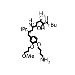 CCCCNC(=O)[C@H](C)C[C@H](O)[C@@H](N)C[C@H](Cc1ccc(OCCCCN)c(OCCCOC)c1)C(C)C